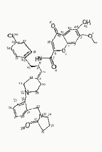 COc1cc2oc(C(=O)N[C@@H](C=C3CCN(c4ccccc4CN4CCCC4=O)CC3)Cc3ccc(Cl)cc3)cc(=O)c2cc1O